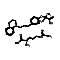 CC(C)(Oc1ccc(CCCN2CCOc3ccccc32)cc1)C(=O)O.N=C(N)NCCC[C@H](N)C(=O)O